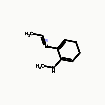 C/C=N/C1=CCCC=C1NC